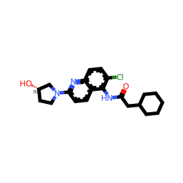 O=C(CC1CCCCC1)Nc1c(Cl)ccc2nc(N3CC[C@H](O)C3)ccc12